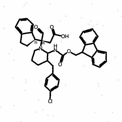 O=C[C@@](CC(=O)O)([C@H]1CCc2ccccc21)N1CCCC(Cc2ccc(Cl)cc2)C1NC(=O)OCC1c2ccccc2-c2ccccc21